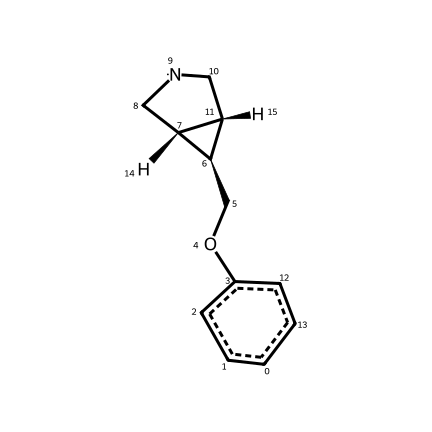 c1ccc(OC[C@H]2[C@@H]3C[N]C[C@@H]32)cc1